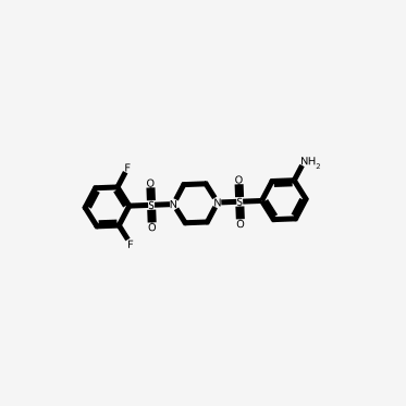 Nc1cccc(S(=O)(=O)N2CCN(S(=O)(=O)c3c(F)cccc3F)CC2)c1